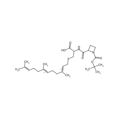 CC(C)=CCC/C(C)=C/CC/C(C)=C/CSCC(NC(=O)C1CCN1C(=O)OC(C)(C)C)C(=O)O